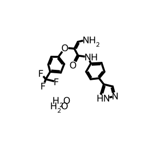 NC=C(Oc1ccc(C(F)(F)F)cc1)C(=O)Nc1ccc(-c2cn[nH]c2)cc1.O.O